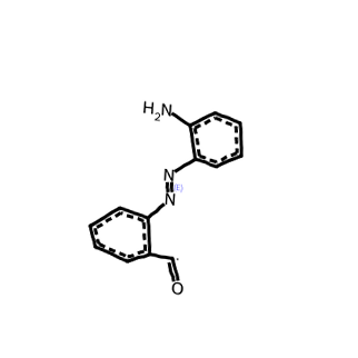 Nc1ccccc1/N=N/c1ccccc1[C]=O